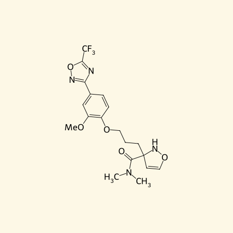 COc1cc(-c2noc(C(F)(F)F)n2)ccc1OCCCC1(C(=O)N(C)C)C=CON1